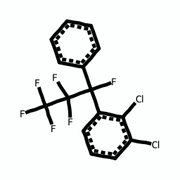 FC(F)(F)C(F)(F)C(F)(c1ccccc1)c1cccc(Cl)c1Cl